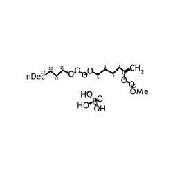 C=C(CCCCOOOOCCCCCCCCCCCCC)OOOC.O=P(O)(O)O